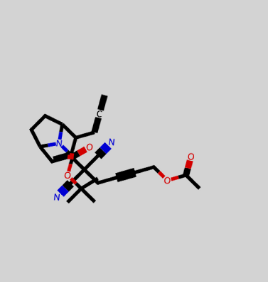 C=C=CC1C(C(C#N)(C#N)CC#CCOC(C)=O)=CC2CCC1N2C(=O)OC(C)(C)C